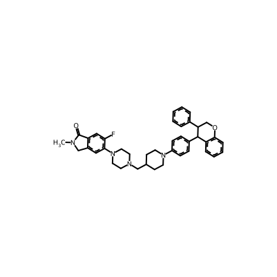 CN1Cc2cc(N3CCN(CC4CCN(c5ccc(C6c7ccccc7OCC6c6ccccc6)cc5)CC4)CC3)c(F)cc2C1=O